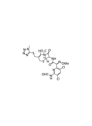 CON=C(C(=O)NC1C(=O)N2C(C(=O)O)=C(CSc3nnnn3C)CS[C@@H]12)c1nc(NC=O)c(Cl)cc1Cl